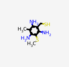 CSc1c(N)c(C)c(N)c(CS)c1N